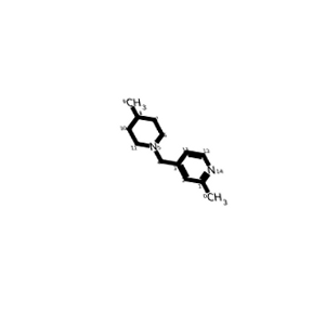 Cc1cc(CN2CCC(C)CC2)ccn1